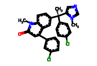 Cn1cncc1[C@@](C)(c1ccc(Cl)cc1)c1ccc2c(c1)c(-c1cccc(Cl)c1)cc(=O)n2C